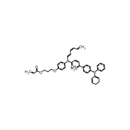 C=C/C=C\C=C\N(C(=C)/C=C\C(=C)c1ccc(N(C2=CCCC=C2)c2ccccc2)cc1)c1ccc(OCCCOC(=O)C=C)cc1